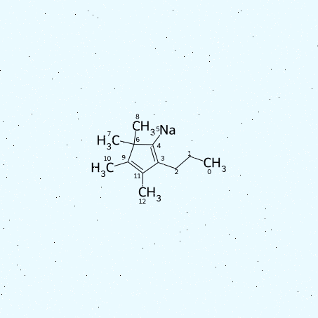 CCCC1=[C]([Na])C(C)(C)C(C)=C1C